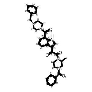 CC1CN(C(=O)c2ccccc2)CCN1C(=O)C(=O)c1c[nH]c2c(C(=O)N3CCN(Cc4ccccc4)CC3)cccc12